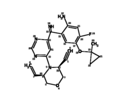 C#C[C@H]1COC[C@@H](C=C)N1c1cc(C(=N)c2cc(OC3(C)CC3)c(F)cc2N)ncn1